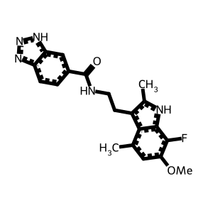 COc1cc(C)c2c(CCNC(=O)c3ccc4nn[nH]c4c3)c(C)[nH]c2c1F